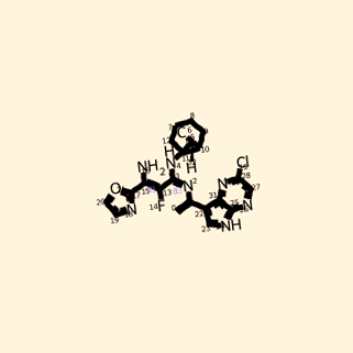 C=C(/N=C(N[C@@H]1CC2CCC1CC2)\C(F)=C(/N)c1ncco1)c1c[nH]c2ncc(Cl)nc12